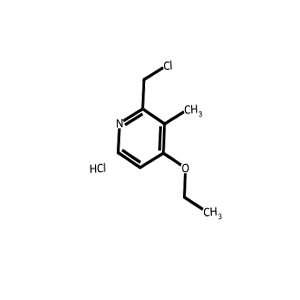 CCOc1ccnc(CCl)c1C.Cl